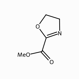 COC(=O)C1=NCCO1